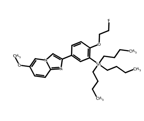 CCC[CH2][Sn]([CH2]CCC)([CH2]CCC)[c]1cc(-c2cn3cc(OC)ccc3n2)ccc1OCCF